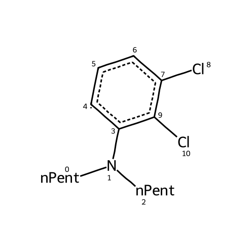 CCCCCN(CCCCC)c1[c]ccc(Cl)c1Cl